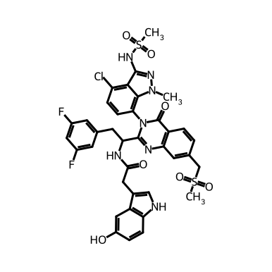 Cn1nc(NS(C)(=O)=O)c2c(Cl)ccc(-n3c(C(Cc4cc(F)cc(F)c4)NC(=O)Cc4c[nH]c5ccc(O)cc45)nc4cc(CS(C)(=O)=O)ccc4c3=O)c21